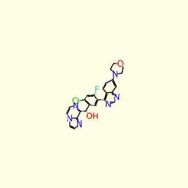 O[C@@H](c1cc(-c2ncnc3cc(N4CCOCC4)ccc23)c(F)cc1Cl)c1nccn2ccnc12